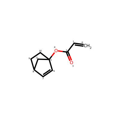 C=CC(=O)OC12C=CC(CC1)C2